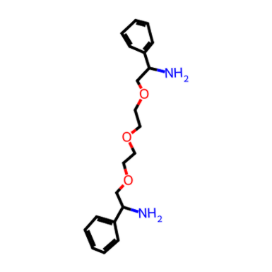 NC(COCCOCCOCC(N)c1ccccc1)c1ccccc1